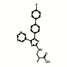 CC(CNc1nc(-c2ccc(-c3ccc(F)cc3)cc2)c(-c2cncnc2)s1)C(=O)O